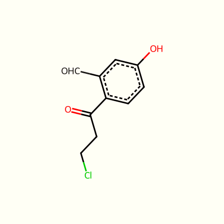 O=Cc1cc(O)ccc1C(=O)CCCl